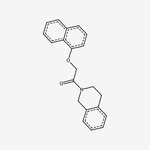 O=C(COc1cccc2ccccc12)N1CCc2ccccc2C1